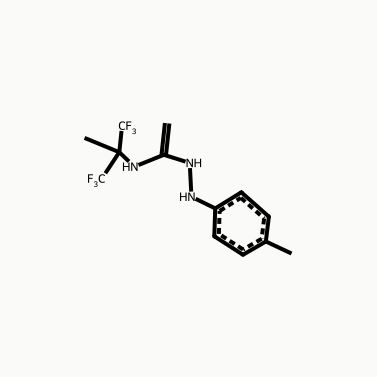 C=C(NNc1ccc(C)cc1)NC(C)(C(F)(F)F)C(F)(F)F